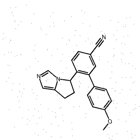 COc1ccc(-c2cc(C#N)ccc2C2CCc3cncn32)cc1